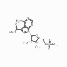 COC(=O)c1nn([C@@H]2O[C@H](COS(N)(=O)=O)[C@H](O)[C@@H]2O)c2ncnc(N)c12